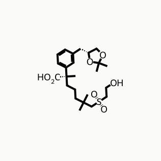 CC(C)(CCC[C@@](C)(C(=O)O)c1cccc(C[C@@H]2COC(C)(C)O2)c1)CS(=O)(=O)CCO